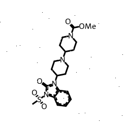 COC(=O)N1CCC(N2CCC(n3c(=O)n(S(C)(=O)=O)c4ccccc43)CC2)CC1